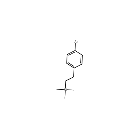 CC(=O)c1ccc(CC[Si](C)(C)C)cc1